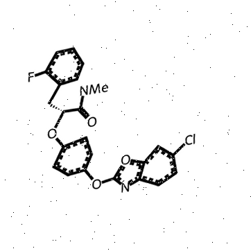 CNC(=O)[C@@H](Cc1ccccc1F)Oc1ccc(Oc2nc3ccc(Cl)cc3o2)cc1